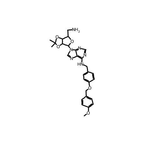 COc1ccc(COc2ccc(CNc3ncnc4c3ncn4C3OC(CN)C4OC(C)(C)OC43)cc2)cc1